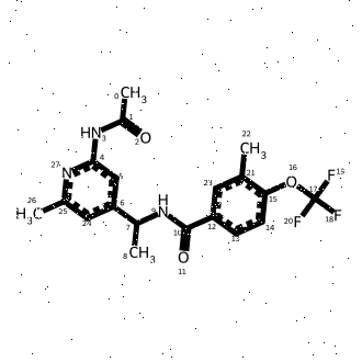 CC(=O)Nc1cc(C(C)NC(=O)c2ccc(OC(F)(F)F)c(C)c2)cc(C)n1